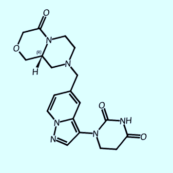 O=C1CCN(c2cnn3ccc(CN4CCN5C(=O)COC[C@H]5C4)cc23)C(=O)N1